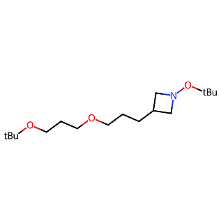 CC(C)(C)OCCCOCCCC1CN(OC(C)(C)C)C1